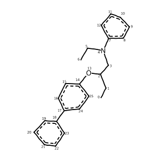 CCC(CN(CC)c1ccccc1)Oc1ccc(-c2ccccc2)cc1